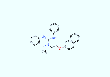 CCN(CCOc1ccc2ccccc2c1)/C(=N\c1ccccc1)Nc1ccccc1